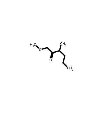 [CH2]CCC(C)C(=O)COC